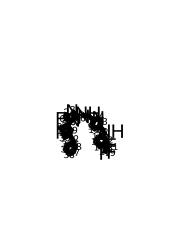 Fc1cnc(N/N=C/c2ccc(Nc3cccc(C(F)(F)F)c3)cn2)nc1-c1cncc(Cc2ccccc2)c1